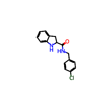 O=C(NCc1ccc(Cl)cc1)C1Cc2cc[c]cc2N1